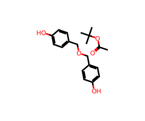 CC(=O)OC(C)(C)C.Oc1ccc(COCc2ccc(O)cc2)cc1